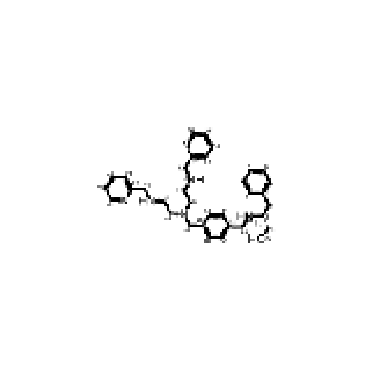 OC[C@@H](Cc1ccccc1)NCc1ccc(CN(CCNCc2ccccn2)CCNCc2ccccn2)cc1